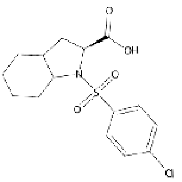 O=C(O)[C@@H]1CC2CCCCC2N1S(=O)(=O)c1ccc(Cl)cc1